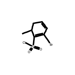 CC1CC=CC(Br)=C1S(=O)(=O)Cl